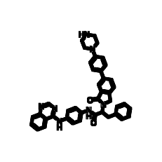 O=C(Nc1ccc(Nc2ncnc3ccccc23)cc1)C(Cc1ccccc1)N1Cc2ccc(-c3ccc(N4CCNCC4)cc3)cc2C1=O